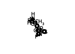 CN(C(=O)c1c[nH]nc1C(F)(F)F)C1CCC(n2c(=O)c3cc(F)cnc3n(C3CCSCC3)c2=O)CC1